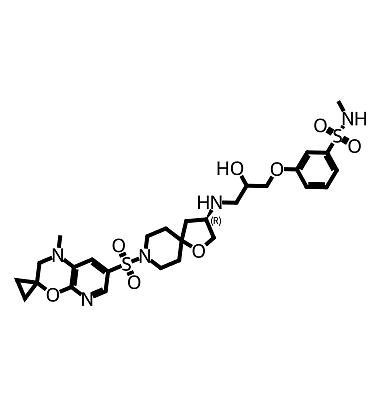 CNS(=O)(=O)c1cccc(OCC(O)CN[C@H]2COC3(CCN(S(=O)(=O)c4cnc5c(c4)N(C)CC4(CC4)O5)CC3)C2)c1